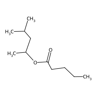 CCCCC(=O)OC(C)CC(C)C